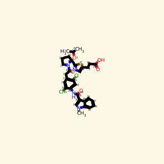 CC(C)O[C@]1(c2ncc(CCC(=O)O)s2)CCCN1C(=O)Cc1cc(Cl)c(NC(=O)c2cn(C)c3ccccc23)cc1Cl